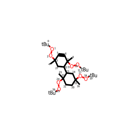 CC(C)(C)OOC1(C)C#CC(C)(OOC(C)(C)C)C(C2CC(C)(OOC(C)(C)C)CCC2(C)OOC(C)(C)C)C1